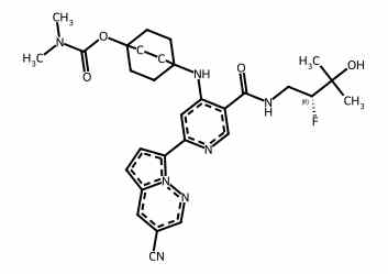 CN(C)C(=O)OC12CCC(Nc3cc(-c4ccc5cc(C#N)cnn45)ncc3C(=O)NC[C@@H](F)C(C)(C)O)(CC1)CC2